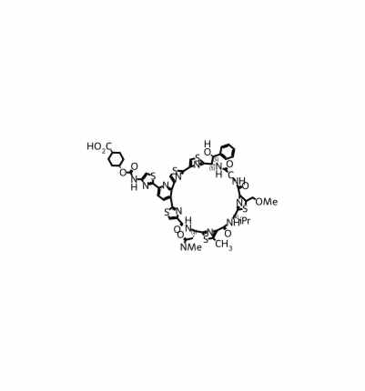 CNC(=O)C[C@@H]1NC(=O)c2csc(n2)-c2ccc(-c3nc(NC(=O)O[C@H]4CC[C@H](C(=O)O)CC4)cs3)nc2-c2csc(n2)-c2csc(n2)[C@H]([C@@H](O)c2ccccc2)NC(=O)CNC(=O)C2N=C(SC2COC)[C@H](C(C)C)NC(=O)c2nc1sc2C